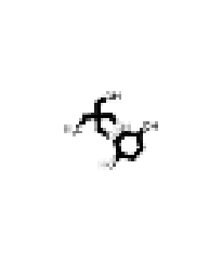 CCC(CO)(CO)CO.OC1CCC(O)CC1